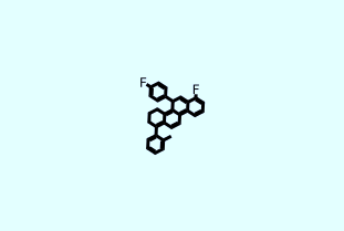 Cc1ccccc1C1=c2ccc3c(c2CCC1)C(c1ccc(F)cc1)C=c1c(F)cccc1=3